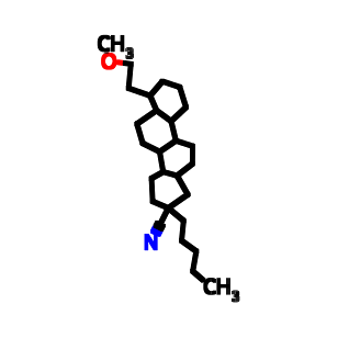 CCCCCC1(C#N)CCC2C(CCC3C4CCCC(CCOC)C4CCC23)C1